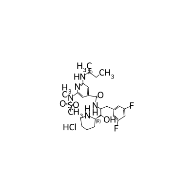 CC[C@H](C)Nc1cc(C(=O)NC(Cc2cc(F)cc(F)c2)C(O)[C@H]2CCCCN2)cc(N(C)S(C)(=O)=O)n1.Cl